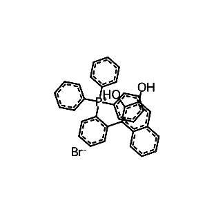 Oc1cc2ccccc2c(-c2ccccc2[P+](c2ccccc2)(c2ccccc2)c2ccccc2)c1O.[Br-]